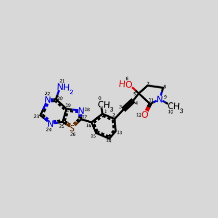 Cc1c(C#CC2(O)CCN(C)C2=O)cccc1-c1nc2c(N)ncnc2s1